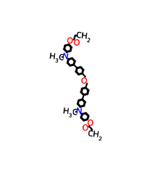 C=CC(=O)Oc1ccc(N(C)c2ccc(-c3ccc(COCc4ccc(-c5ccc(N(C)c6ccc(OC(=O)C=C)cc6)cc5)cc4)cc3)cc2)cc1